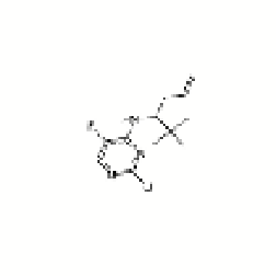 C=CCC(Nc1nc(Cl)ncc1F)C(C)(C)C